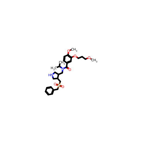 COCCCOc1cc(C(=O)N(CC2CNCC2CS(=O)(=O)Cc2ccccc2)C(C)C)ccc1OC